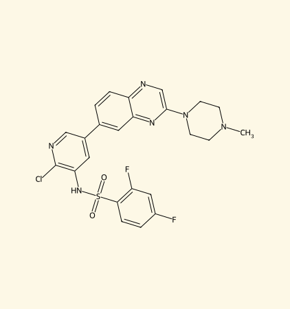 CN1CCN(c2cnc3ccc(-c4cnc(Cl)c(NS(=O)(=O)c5ccc(F)cc5F)c4)cc3n2)CC1